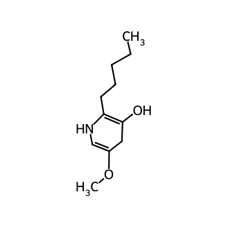 CCCCCC1=C(O)CC(OC)=CN1